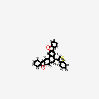 c1ccc2c(c1)oc1cc3c(cc12)c(-c1csc2ccccc12)cc1cc2oc4ccccc4c2cc13